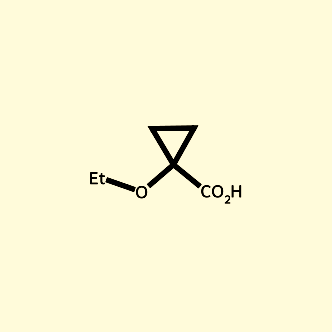 CCOC1(C(=O)O)CC1